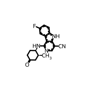 C[C@H]1CC(=O)CC[C@H]1Nc1ncc(C#N)c2[nH]c3ccc(F)cc3c12